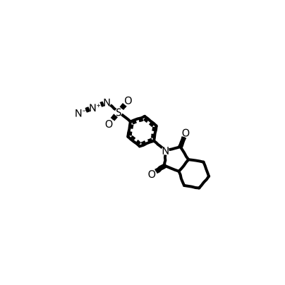 [N-]=[N+]=NS(=O)(=O)c1ccc(N2C(=O)C3CCCCC3C2=O)cc1